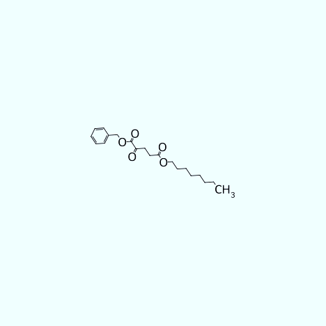 CCCCCCCCOC(=O)CCC(=O)C(=O)OCc1ccccc1